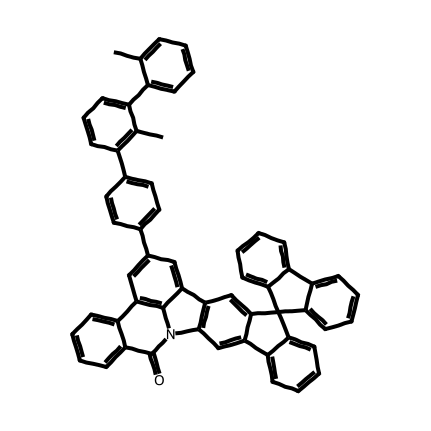 Cc1ccccc1-c1cccc(-c2ccc(-c3cc4c5ccccc5c(=O)n5c6cc7c(cc6c(c3)c45)C3(c4ccccc4-c4ccccc43)c3ccccc3-7)cc2)c1C